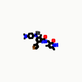 CCN(c1cc(-c2ccsc2)cc(C(=O)NCc2c(C)cc(C)[nH]c2=O)c1C)C1CCC(N(C)C)CC1